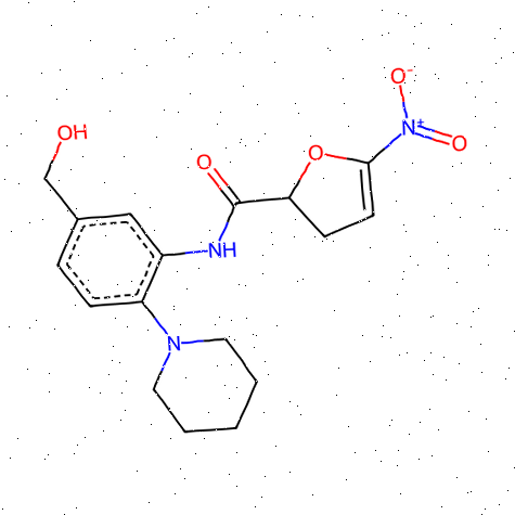 O=C(Nc1cc(CO)ccc1N1CCCCC1)C1CC=C([N+](=O)[O-])O1